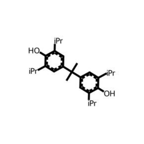 CC(C)c1cc(C(C)(C)c2cc(C(C)C)c(O)c(C(C)C)c2)cc(C(C)C)c1O